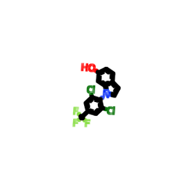 Oc1ccc2ccn(-c3c(Cl)cc(C(F)(F)F)cc3Cl)c2c1